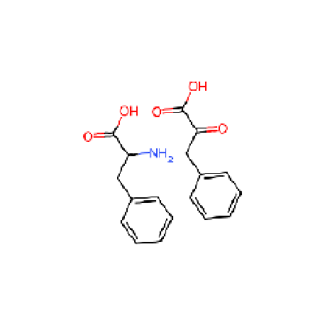 NC(Cc1ccccc1)C(=O)O.O=C(O)C(=O)Cc1ccccc1